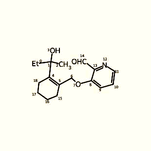 CCC(C)(O)C1=C(COc2cccnc2C=O)CCCC1